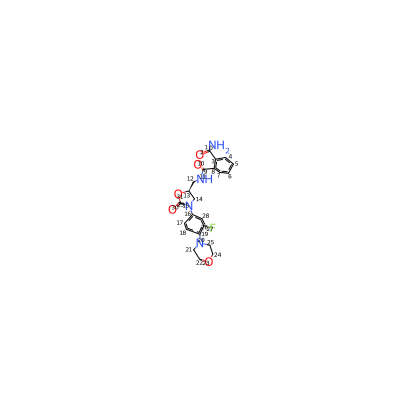 NC(=O)c1ccccc1C(=O)NC[C@H]1CN(c2ccc(N3CCOCC3)c(F)c2)C(=O)O1